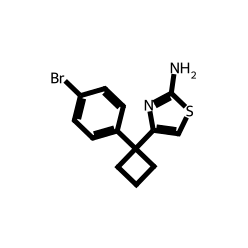 Nc1nc(C2(c3ccc(Br)cc3)CCC2)cs1